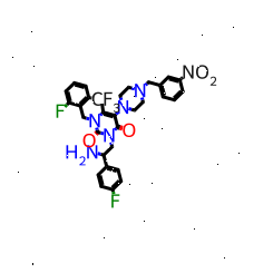 Cc1c(N2CCN(Cc3cccc([N+](=O)[O-])c3)CC2)c(=O)n(CC(N)c2ccc(F)cc2)c(=O)n1Cc1c(F)cccc1C(F)(F)F